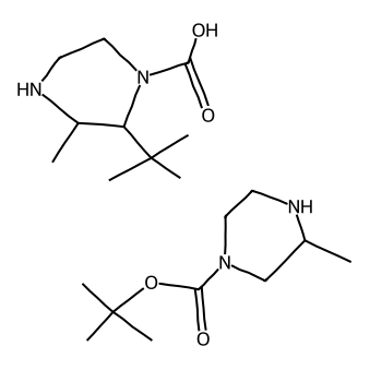 CC1CN(C(=O)OC(C)(C)C)CCN1.CC1NCCN(C(=O)O)C1C(C)(C)C